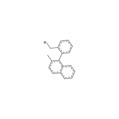 Cc1ccc2ccccc2c1-c1ccccc1CBr